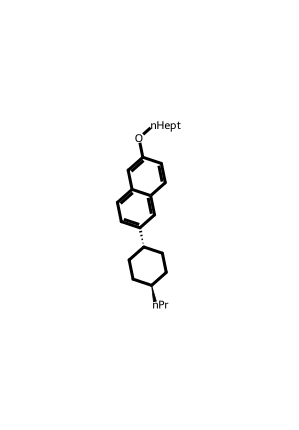 CCCCCCCOc1ccc2cc([C@H]3CC[C@H](CCC)CC3)ccc2c1